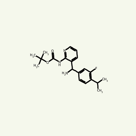 CC(C)c1ccc(C(N)c2cccnc2NC(=O)OC(C)(C)C)cc1F